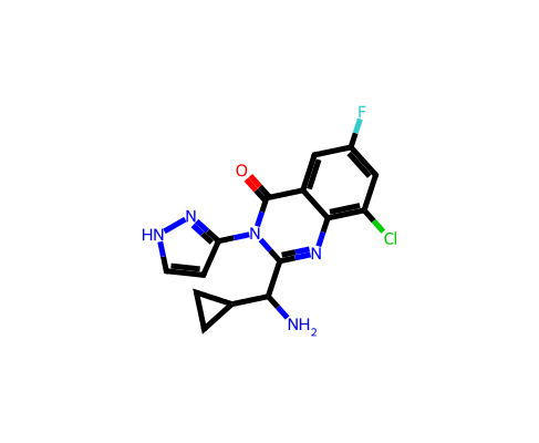 NC(c1nc2c(Cl)cc(F)cc2c(=O)n1-c1cc[nH]n1)C1CC1